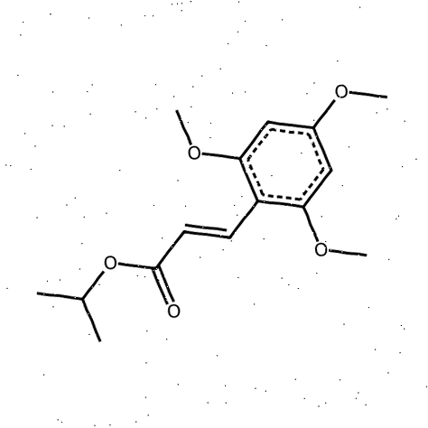 COc1cc(OC)c(C=CC(=O)OC(C)C)c(OC)c1